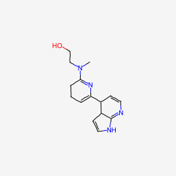 CN(CCO)C1=NC(C2C=CN=C3NC=CC32)=CCC1